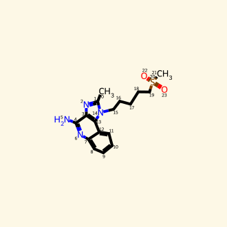 Cc1nc2c(N)nc3ccccc3c2n1CCCCCS(C)(=O)=O